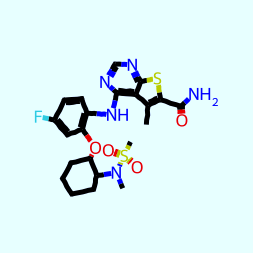 Cc1c(C(N)=O)sc2ncnc(Nc3ccc(F)cc3OC3CCCCC3N(C)S(C)(=O)=O)c12